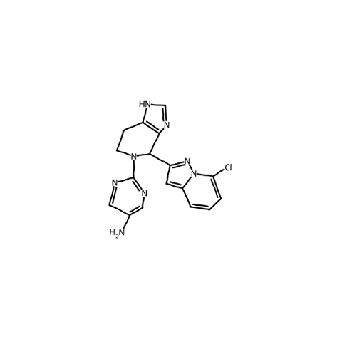 Nc1cnc(N2CCc3[nH]cnc3C2c2cc3cccc(Cl)n3n2)nc1